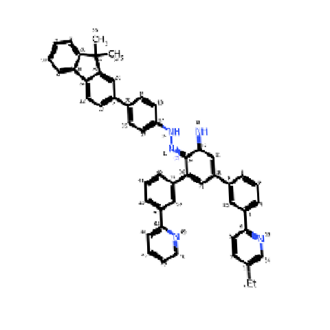 CCc1ccc(-c2cccc(C3=CC(=N)/C(=N\Nc4ccc(-c5ccc6c(c5)C(C)(C)c5ccccc5-6)cc4)C(c4cccc(-c5ccccn5)c4)=C3)c2)nc1